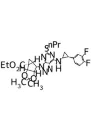 CCCSc1nc(N[C@@H]2C[C@H]2c2ccc(F)c(F)c2)c2nnn([C@H]3[C@@H]4OC(C)(C)O[C@@H]4[C@@]4(C(=O)OCC)C[C@H]34)c2n1